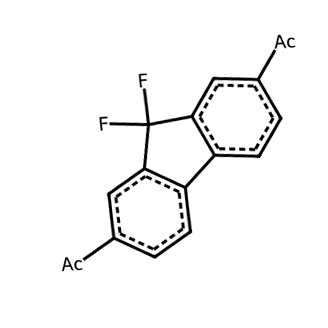 CC(=O)c1ccc2c(c1)C(F)(F)c1cc(C(C)=O)ccc1-2